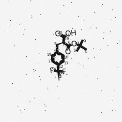 CC(C)(C)OC(=O)[C@@H](Cc1ccc(C(F)(F)F)cc1)C(=O)O